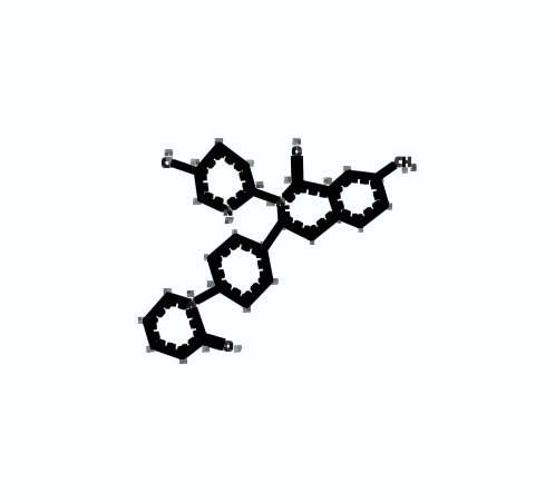 Cc1ccc2cc(-c3ccc(-n4ccccc4=O)cc3)n(-c3ccc(Cl)cn3)c(=O)c2c1